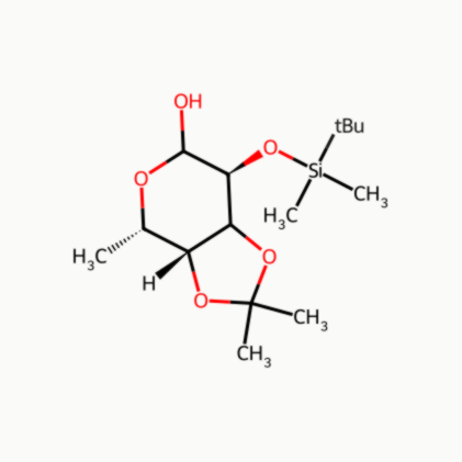 C[C@@H]1OC(O)[C@@H](O[Si](C)(C)C(C)(C)C)C2OC(C)(C)O[C@@H]21